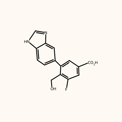 O=C(O)c1cc(F)c(CO)c(-c2ccc3[nH]cnc3c2)c1